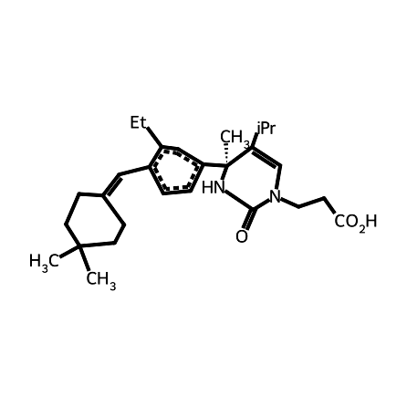 CCc1cc([C@]2(C)NC(=O)N(CCC(=O)O)C=C2C(C)C)ccc1C=C1CCC(C)(C)CC1